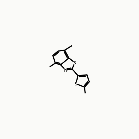 Cc1ccc(-c2nc3c(C)ccc(C)c3s2)s1